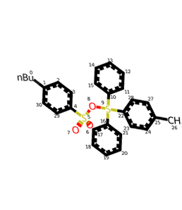 CCCCc1ccc(S(=O)(=O)OS(c2ccccc2)(c2ccccc2)c2ccc(C)cc2)cc1